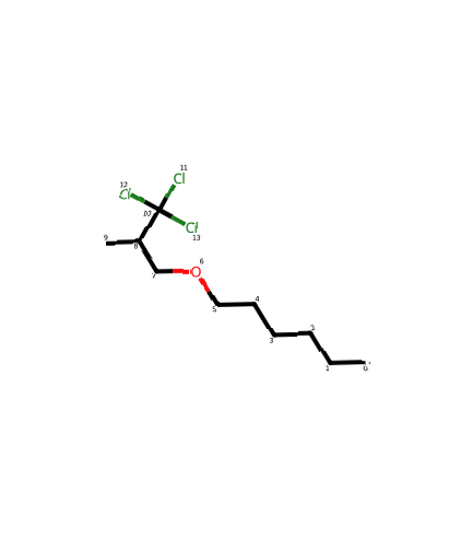 [CH2]CCCCCOCC(C)C(Cl)(Cl)Cl